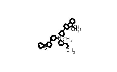 C=C/C=C\C1C=CC=C(N(c2ccc(-c3ccc4c(c3)C(C)(C)c3ccccc3-4)cc2)c2cccc(-c3ccc4sc5ccccc5c4c3)c2)[C@H]1C